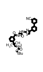 CC(C)(C)OC(=O)NCC(C)(C)c1cccc(C(=O)NCC(=O)Nc2nc(-c3cccc(-c4cccc(C#N)c4)c3)cs2)c1